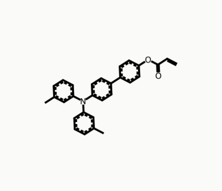 C=CC(=O)Oc1ccc(-c2ccc(N(c3cccc(C)c3)c3cccc(C)c3)cc2)cc1